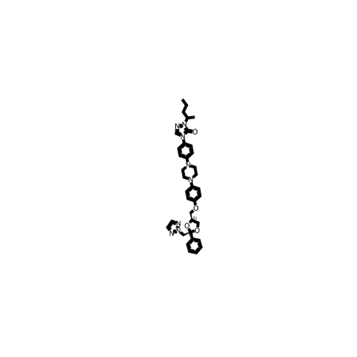 CCCC(C)n1ncn(-c2ccc(N3CCN(c4ccc(OC[C@H]5CO[C@](Cn6nccn6)(c6ccccc6)O5)cc4)CC3)cc2)c1=O